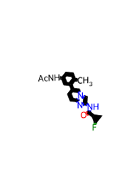 CC(=O)Nc1ccc(C)c(-c2ccc3nc(NC(=O)C4CC4F)cn3c2)c1